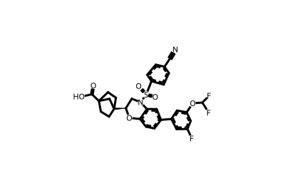 N#Cc1ccc(S(=O)(=O)N2C[C@H](C34CCC(C(=O)O)(CC3)C4)Oc3ccc(-c4cc(F)cc(OC(F)F)c4)cc32)cc1